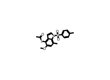 COc1cc(C)c2c(ccn2S(=O)(=O)c2ccc(C)cc2)c1SC(C)=O